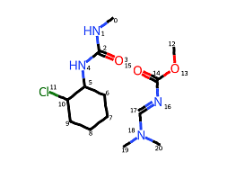 CNC(=O)NC1CCCCC1Cl.COC(=O)N=CN(C)C